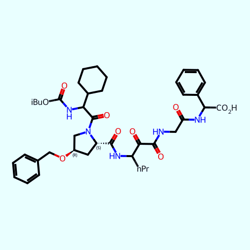 CCCC(NC(=O)[C@@H]1C[C@@H](OCc2ccccc2)CN1C(=O)C(NC(=O)OCC(C)C)C1CCCCC1)C(=O)C(=O)NCC(=O)NC(C(=O)O)c1ccccc1